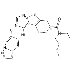 CCN(CCOC)C(=O)[C@H]1CCc2c(sc3ncnc(Nc4cc5ccnn5cc4Cl)c23)C1